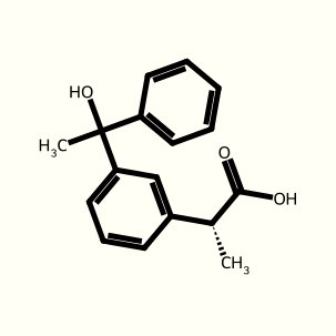 C[C@@H](C(=O)O)c1cccc(C(C)(O)c2ccccc2)c1